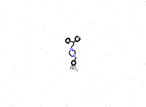 O=[N+]([O-])c1ccc(CN2CCCN(CCC(c3ccccc3)c3ccccc3)CC2)cc1